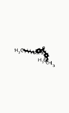 CCCCCCCCOc1ccc2c(c1)SC(=Cc1ccc(CC(C)C)cc1)C2=O